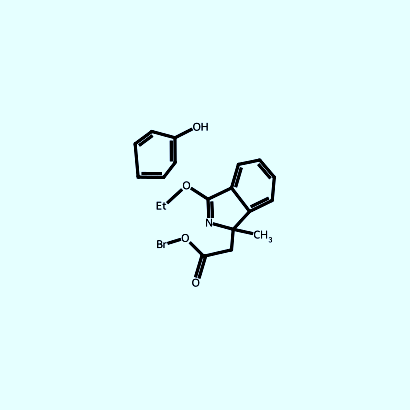 CCOC1=NC(C)(CC(=O)OBr)c2ccccc21.Oc1ccccc1